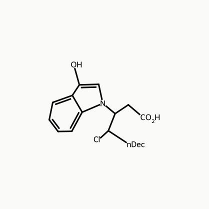 CCCCCCCCCCC(Cl)C(CC(=O)O)n1cc(O)c2ccccc21